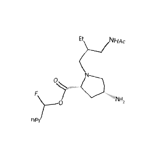 CCCC(F)OC(=O)[C@H]1C[C@@H](N)CN1CC(CC)CNC(C)=O